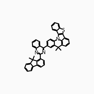 CC1(C)c2ccccc2-c2cccc(-c3nc(-c4ccc5c(c4)C(C)(C)c4cccc6c7sc8ccccc8c7n-5c46)c4ccccc4n3)c21